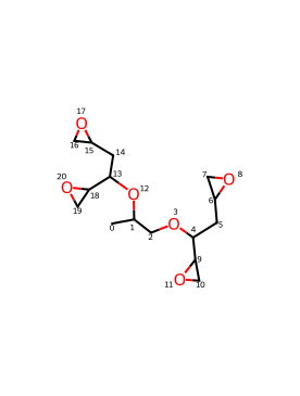 CC(COC(CC1CO1)C1CO1)OC(CC1CO1)C1CO1